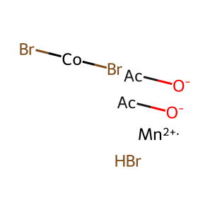 Br.CC(=O)[O-].CC(=O)[O-].[Br][Co][Br].[Mn+2]